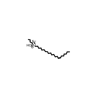 CCCCCC/C=C\CCCCCCCCCCCCCCOP(=O)(O)C(CCC)[N+](C)(C)C